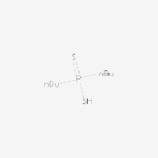 CCCCP(=S)(S)CCCC